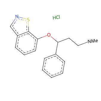 CNCCC(Oc1cccc2cnsc12)c1ccccc1.Cl